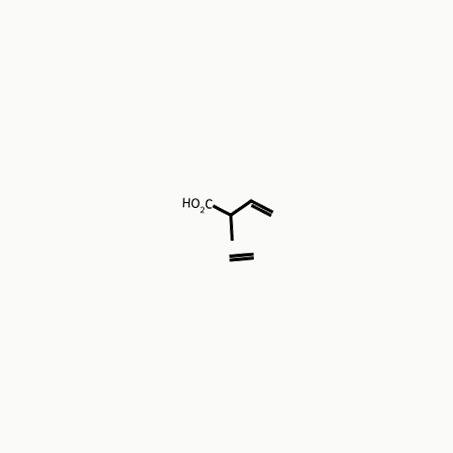 C=C.C=CC(C)C(=O)O